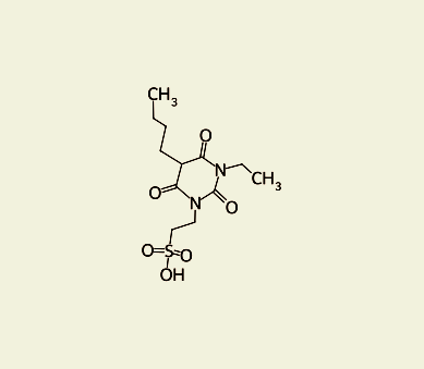 CCCCC1C(=O)N(CC)C(=O)N(CCS(=O)(=O)O)C1=O